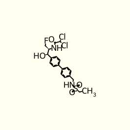 CCS(=O)(=O)NCc1ccc(-c2ccc([C@@H](O)[C@@H](CF)NC(=O)C(Cl)Cl)cc2)cc1